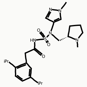 CC(C)c1ccc(C(C)C)c(CC(=O)NS(=O)(=O)N(C[C@@H]2CCCN2C)c2cnn(C)c2)c1